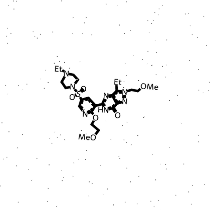 CCc1c2nc(-c3cc(S(=O)(=O)N4CCN(CC)CC4)cnc3OCCOC)[nH]c(=O)c2nn1CCOC